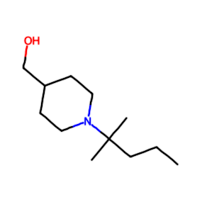 CCCC(C)(C)N1CCC(CO)CC1